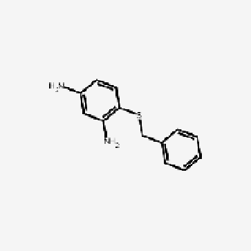 Nc1ccc(SCc2ccccc2)c(N)c1